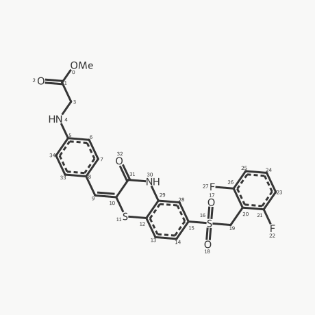 COC(=O)CNc1ccc(/C=C2/Sc3ccc(S(=O)(=O)Cc4c(F)cccc4F)cc3NC2=O)cc1